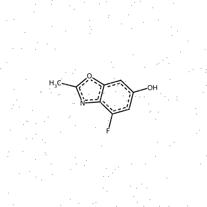 Cc1nc2c(F)cc(O)cc2o1